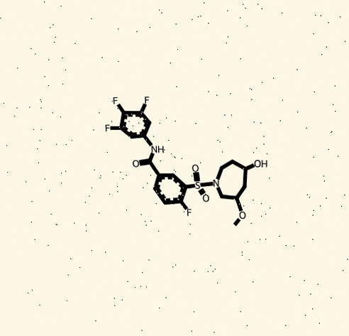 COC1CC(O)CCN(S(=O)(=O)c2cc(C(=O)Nc3cc(F)c(F)c(F)c3)ccc2F)C1